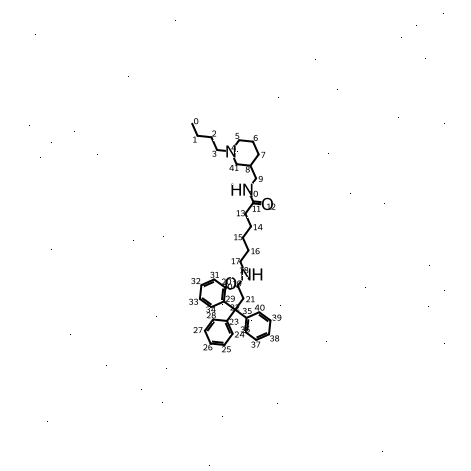 CCCCN1CCCC(CNC(=O)CCCCCNC(=O)CC(c2ccccc2)(c2ccccc2)c2ccccc2)C1